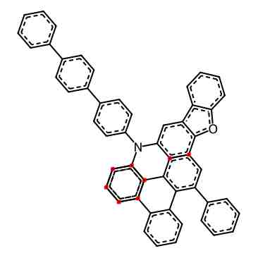 c1ccc(-c2ccc(-c3ccc(N(c4ccc5oc6ccccc6c5c4)c4ccccc4-c4cccc(-c5ccccc5)c4-c4ccccc4-c4ccccc4)cc3)cc2)cc1